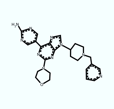 Nc1ncc(-c2nc(N3CCOCC3)nc3c2ncn3C2CCN(Cc3cccnc3)CC2)cn1